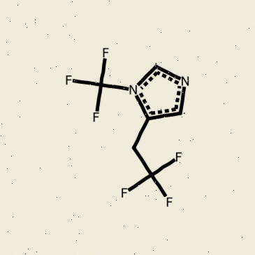 FC(F)(F)Cc1[c]n[c]n1C(F)(F)F